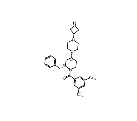 O=C(c1cc(C(F)(F)F)cc(C(F)(F)F)c1)N1CC[C@H](N2CCN(C3CNC3)CC2)C[C@H]1Cc1ccccc1